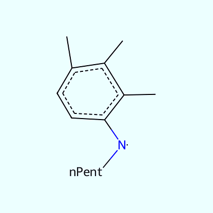 CCCCC[N]c1ccc(C)c(C)c1C